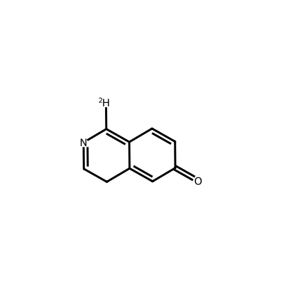 [2H]C1=C2C=CC(=O)C=C2CC=N1